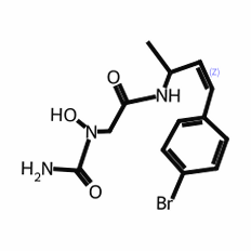 CC(/C=C\c1ccc(Br)cc1)NC(=O)CN(O)C(N)=O